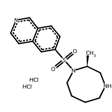 C[C@H]1CNCCCCN1S(=O)(=O)c1ccc2cnccc2c1.Cl.Cl